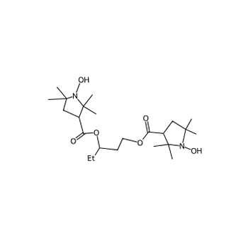 CCC(CCOC(=O)C1CC(C)(C)N(O)C1(C)C)OC(=O)C1CC(C)(C)N(O)C1(C)C